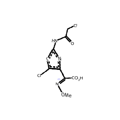 CO/N=C(\C(=O)O)c1nc(NC(=O)CCl)sc1Cl